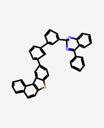 c1ccc(-c2nc(-c3cccc(-c4cccc(-c5ccc6sc7ccc8ccccc8c7c6c5)c4)c3)nc3ccccc23)cc1